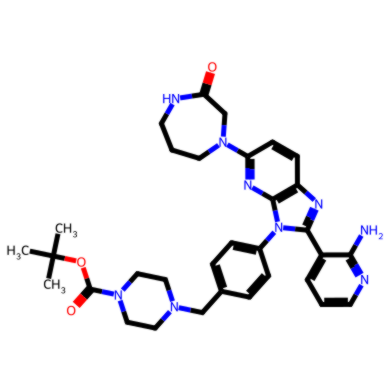 CC(C)(C)OC(=O)N1CCN(Cc2ccc(-n3c(-c4cccnc4N)nc4ccc(N5CCCNC(=O)C5)nc43)cc2)CC1